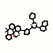 CC1(C)c2ccccc2C2(c3ccccc3Sc3c(-c4cccc(-c5cc(-c6cccc7ccccc67)nc(-c6ccccc6)n5)c4)cccc32)c2ccccc21